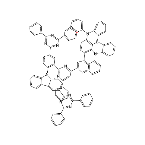 c1ccc(-c2cc(-c3cccc(-c4ccc5c6c4N(c4ccccc4)c4ccccc4B6c4ccccc4N5c4ccccc4)c3)nc(-c3cc(-c4nc(-c5ccccc5)nc(-c5ccccc5)n4)ccc3-n3c4ccccc4c4cc(-c5nc(-c6ccccc6)nc(-c6ccccc6)n5)ccc43)n2)cc1